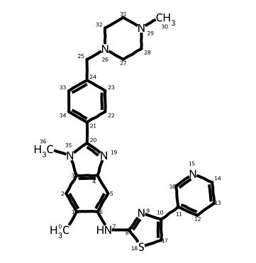 Cc1cc2c(cc1Nc1nc(-c3cccnc3)cs1)nc(-c1ccc(CN3CCN(C)CC3)cc1)n2C